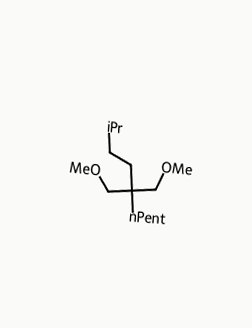 CCCCCC(CCC(C)C)(COC)COC